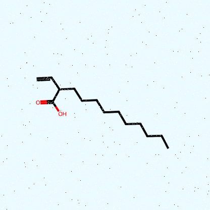 C=CC(CCCCCCCCCC)C(=O)O